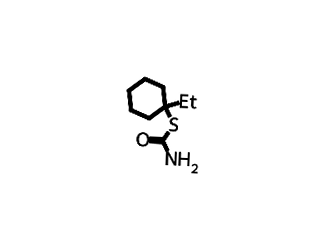 CCC1(SC(N)=O)CCCCC1